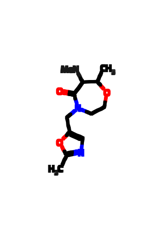 CNC1C(=O)N(Cc2cnc(C)o2)CCOC1C